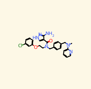 CN(Cc1ccc(CN(CCOc2cccc(Cl)c2)C(=O)c2c[nH]nc2N)cc1)c1ccccn1